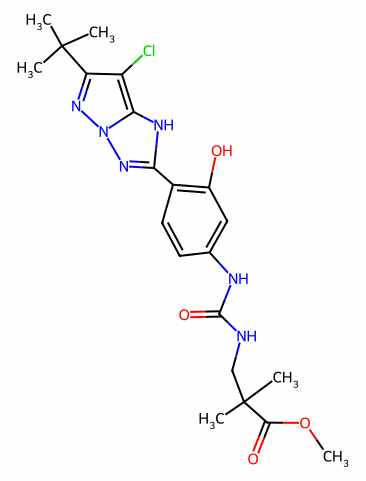 COC(=O)C(C)(C)CNC(=O)Nc1ccc(-c2nn3nc(C(C)(C)C)c(Cl)c3[nH]2)c(O)c1